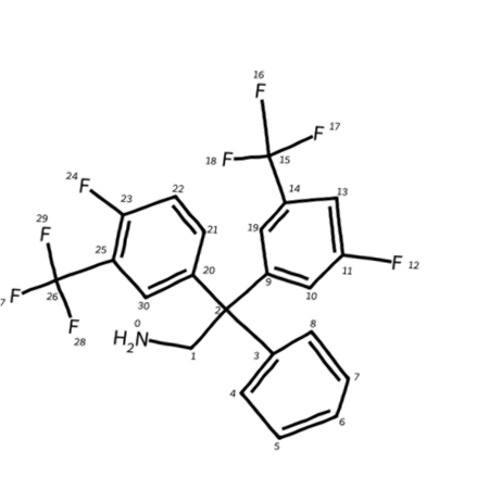 NCC(c1ccccc1)(c1cc(F)cc(C(F)(F)F)c1)c1ccc(F)c(C(F)(F)F)c1